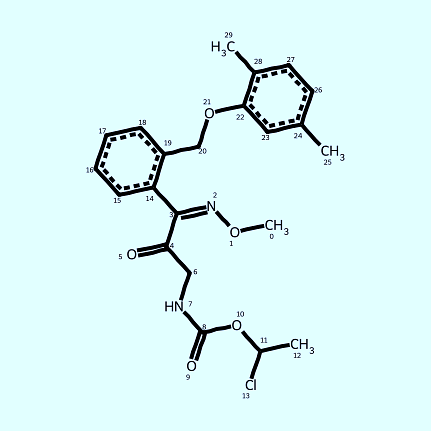 CON=C(C(=O)CNC(=O)OC(C)Cl)c1ccccc1COc1cc(C)ccc1C